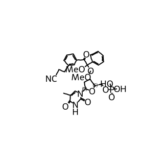 COOC(OC)(C(=O)c1cccc(CCC#N)c1)c1ccccc1.Cc1cn([C@H]2CC[C@@H](COP(=O)(O)O)O2)c(=O)[nH]c1=O